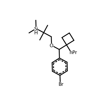 CCCC1(C(OCC(C)(C)[SiH](C)C)c2ccc(Br)cc2)CCC1